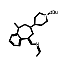 C/C=N\C=C1/CC(C2CCN(C(C)(C)C)CC2)CC(C)c2ccccc21